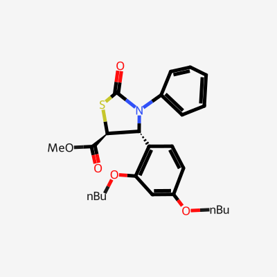 CCCCOc1ccc([C@@H]2[C@@H](C(=O)OC)SC(=O)N2c2ccccc2)c(OCCCC)c1